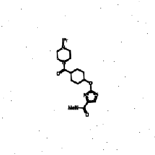 CNC(=O)c1csc(OC2CCC(C(=O)N3CCN(C(C)C)CC3)CC2)n1